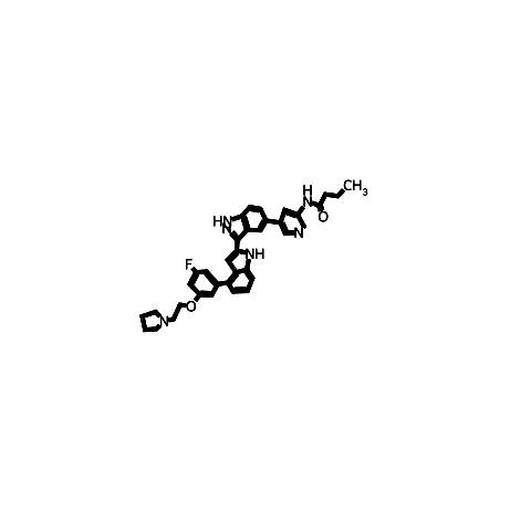 CCCC(=O)Nc1cncc(-c2ccc3[nH]nc(-c4cc5c(-c6cc(F)cc(OCCN7CCCC7)c6)cccc5[nH]4)c3c2)c1